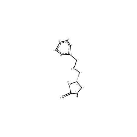 O=C1NC[C@@H](COCc2ccccc2)O1